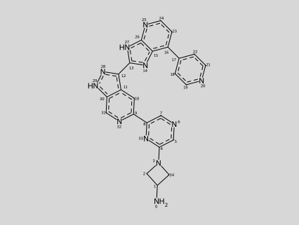 NC1CN(c2cncc(-c3cc4c(-c5nc6c(-c7ccncc7)ccnc6[nH]5)n[nH]c4cn3)n2)C1